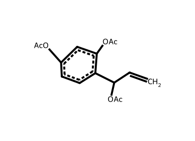 C=CC(OC(C)=O)c1ccc(OC(C)=O)cc1OC(C)=O